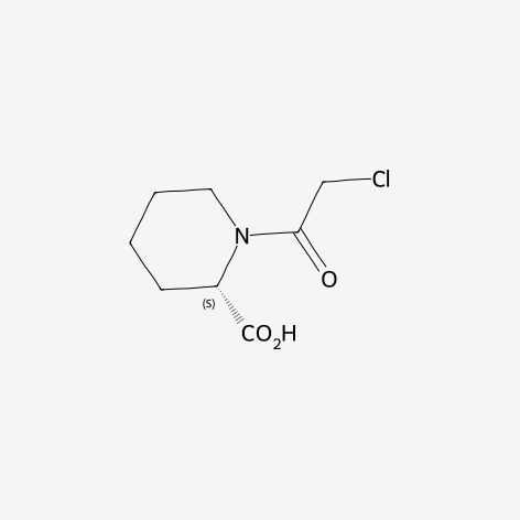 O=C(O)[C@@H]1CCCCN1C(=O)CCl